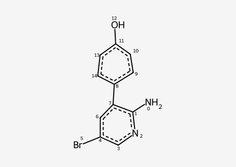 Nc1ncc(Br)cc1-c1ccc(O)cc1